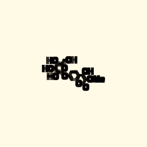 COc1c(O)c2ccc(O[C@@H]3O[C@H](CO)[C@@H](O)[C@H](O)[C@@H]3O)cc2oc1=O